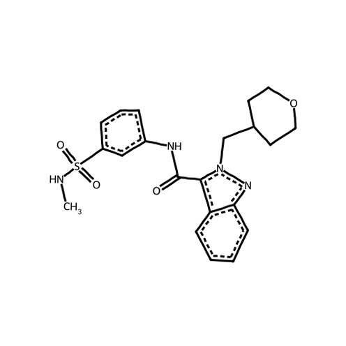 CNS(=O)(=O)c1cccc(NC(=O)c2c3ccccc3nn2CC2CCOCC2)c1